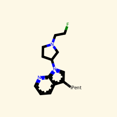 CCCC(C)c1cn(C2CCN(CCF)C2)c2ncccc12